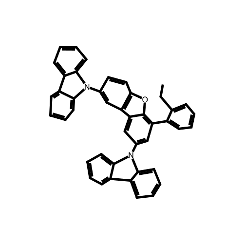 CCc1ccccc1-c1cc(-n2c3ccccc3c3ccccc32)cc2c1oc1ccc(-n3c4ccccc4c4ccccc43)cc12